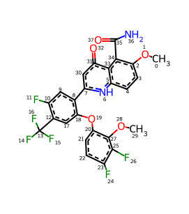 COc1ccc2[nH]c(-c3cc(F)c(C(F)(F)F)cc3Oc3ccc(F)c(F)c3OC)cc(=O)c2c1C(N)=O